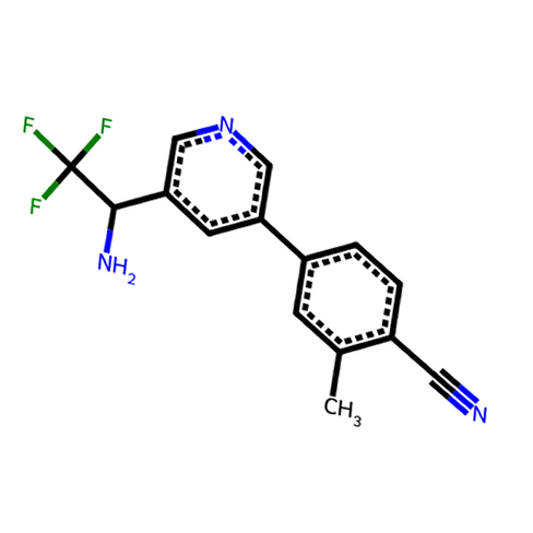 Cc1cc(-c2cncc(C(N)C(F)(F)F)c2)ccc1C#N